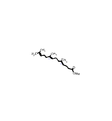 COC(=O)CC/C=C(\C)CC/C=C(\C)CCC=C(C)C